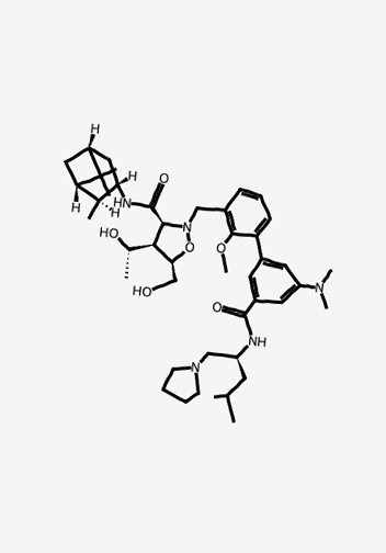 COc1c(CN2O[C@@H](CO)[C@@H]([C@H](C)O)[C@H]2C(=O)N[C@H]2C[C@H]3C[C@@H]([C@@H]2C)C3(C)C)cccc1-c1cc(C(=O)N[C@@H](CC(C)C)CN2CCCC2)cc(N(C)C)c1